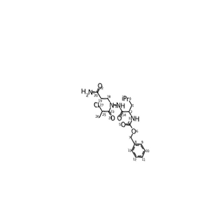 CC(C)CC(NC(=O)OCc1ccccc1)C(=O)NN(CCC(N)=O)C(=O)C(C)Cl